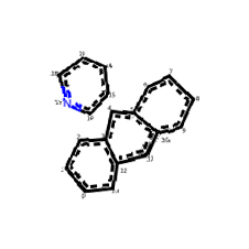 c1ccc2cc3ccccc3cc2c1.c1ccncc1